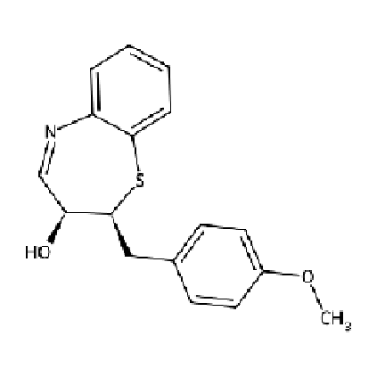 COc1ccc(C[C@@H]2Sc3ccccc3N=C[C@@H]2O)cc1